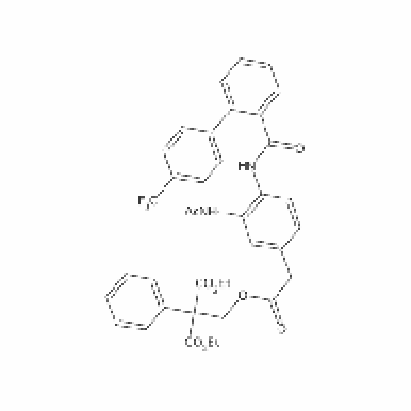 CCOC(=O)C(COC(=O)Cc1ccc(NC(=O)c2ccccc2-c2ccc(C(F)(F)F)cc2)c(NC(C)=O)c1)(C(=O)OCC)c1ccccc1